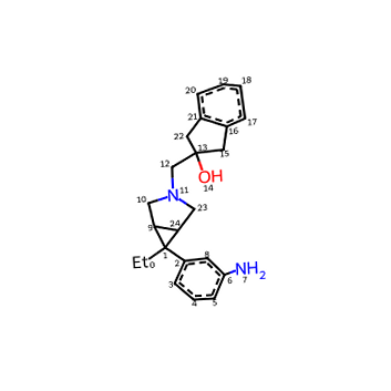 CCC1(c2cccc(N)c2)C2CN(CC3(O)Cc4ccccc4C3)CC21